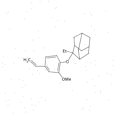 C=Cc1ccc(OC2(CC)C3CC4CC(C3)CC2C4)c(OC)c1